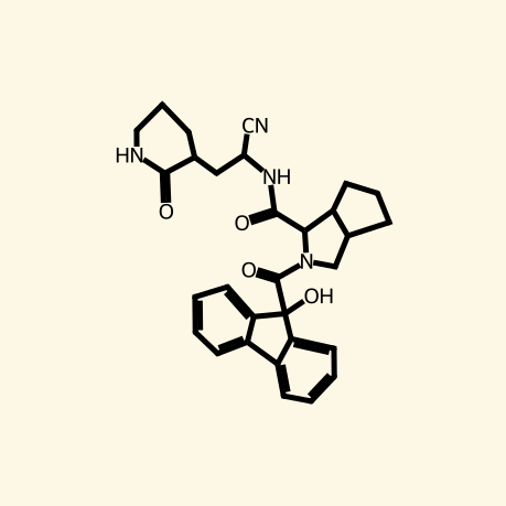 N#CC(CC1CCCNC1=O)NC(=O)C1C2CCCC2CN1C(=O)C1(O)c2ccccc2-c2ccccc21